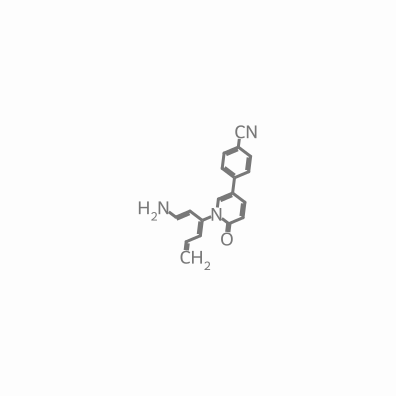 C=C/C=C(\C=C\N)n1cc(-c2ccc(C#N)cc2)ccc1=O